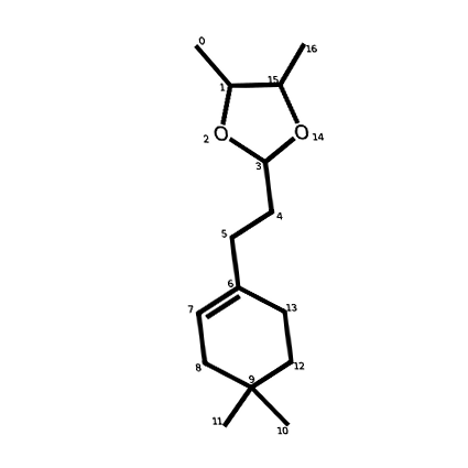 CC1OC(CCC2=CCC(C)(C)CC2)OC1C